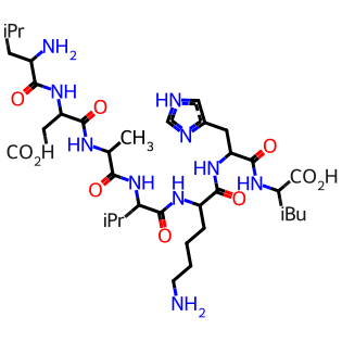 CCC(C)C(NC(=O)C(Cc1c[nH]cn1)NC(=O)C(CCCCN)NC(=O)C(NC(=O)C(C)NC(=O)C(CC(=O)O)NC(=O)C(N)CC(C)C)C(C)C)C(=O)O